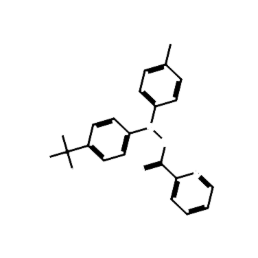 Cc1ccc(B(OC(=O)c2ccccn2)c2ccc(C(F)(F)F)cc2)cc1